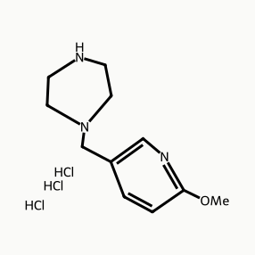 COc1ccc(CN2CCNCC2)cn1.Cl.Cl.Cl